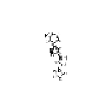 Fc1cccc(-n2cc(NCCN3CCCC3)nn2)c1